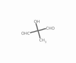 CC(O)(C=O)C=O